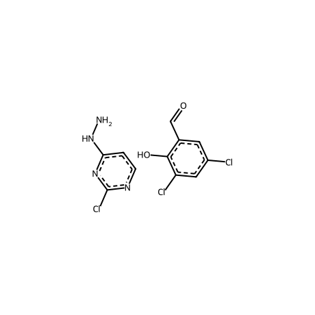 NNc1ccnc(Cl)n1.O=Cc1cc(Cl)cc(Cl)c1O